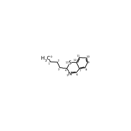 CCCCC1N=Cc2ccccc2S1